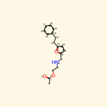 CC(=O)OCCNCc1ccc(CCc2ccccc2)o1